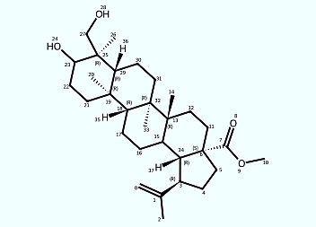 C=C(C)[C@@H]1CC[C@]2(C(=O)OC)CC[C@]3(C)C(CC[C@@H]4[C@@]5(C)CCC(O)[C@@](C)(CO)[C@@H]5CC[C@]43C)[C@@H]12